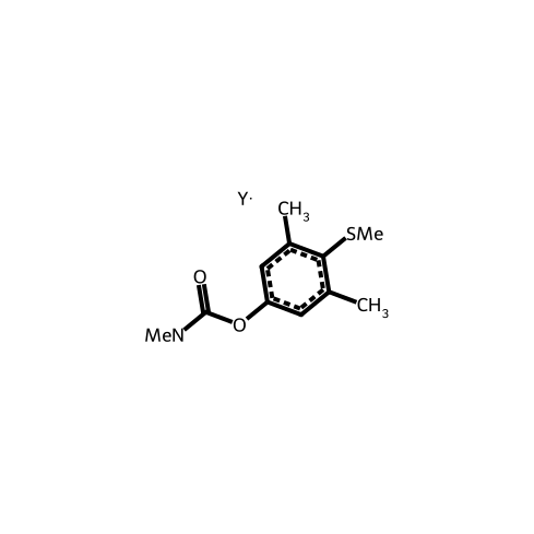 CNC(=O)Oc1cc(C)c(SC)c(C)c1.[Y]